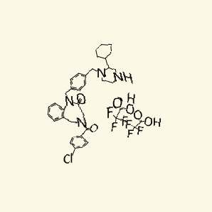 O=C(O)C(F)(F)F.O=C(O)C(F)(F)F.O=C(c1ccc(Cl)cc1)N1CC(=O)N(Cc2ccc(CN3CCNCC3C3CCCCC3)cc2)c2ccccc2C1